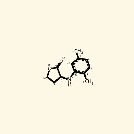 Cc1ccc(C)c(NC2CCOC2=O)c1